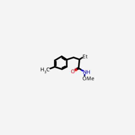 CCC(Cc1ccc(C)cc1)C(=O)NOC